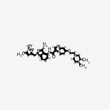 Cc1nn(Cc2cc(C)n(C(C)C)n2)c2cccc(NC(=O)c3cnc4cc(OCCN5CCN(C)[C@@H](C)C5)ccn34)c12